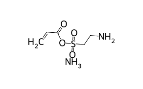 C=CC(=O)OS(=O)(=O)CCN.N